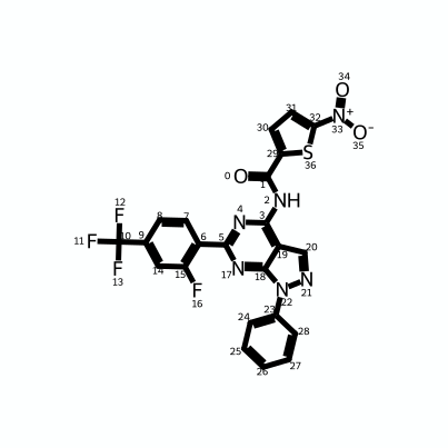 O=C(Nc1nc(-c2ccc(C(F)(F)F)cc2F)nc2c1cnn2-c1ccccc1)c1ccc([N+](=O)[O-])s1